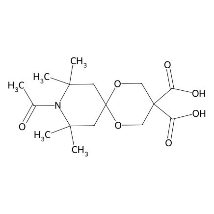 CC(=O)N1C(C)(C)CC2(CC1(C)C)OCC(C(=O)O)(C(=O)O)CO2